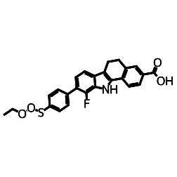 CCOOSc1ccc(-c2ccc3c4c([nH]c3c2F)-c2ccc(C(=O)O)cc2CC4)cc1